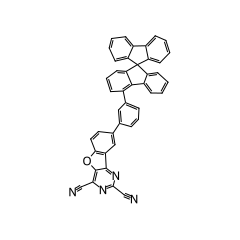 N#Cc1nc(C#N)c2oc3ccc(-c4cccc(-c5cccc6c5-c5ccccc5C65c6ccccc6-c6ccccc65)c4)cc3c2n1